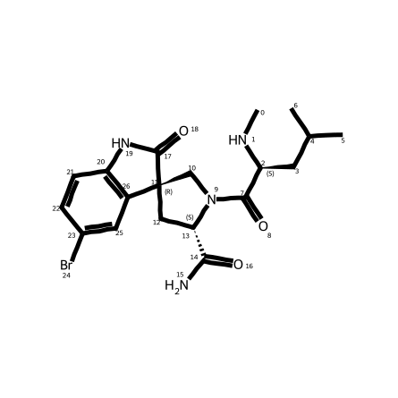 CN[C@@H](CC(C)C)C(=O)N1C[C@]2(C[C@H]1C(N)=O)C(=O)Nc1ccc(Br)cc12